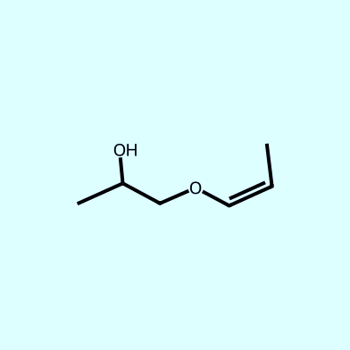 C/C=C\OCC(C)O